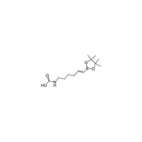 CC1(C)OB(/C=C/CCCCNC(=O)O)OC1(C)C